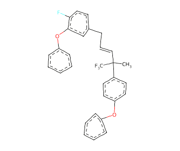 CC(C=CCc1ccc(F)c(Oc2ccccc2)c1)(c1ccc(Oc2ccccc2)cc1)C(F)(F)F